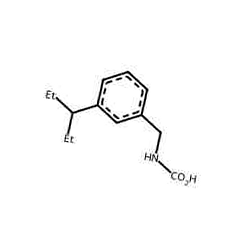 CCC(CC)c1cccc(CNC(=O)O)c1